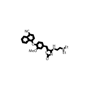 CCN(CC)CCNC1=NC(=O)S/C1=C\c1ccc(Oc2ccc(C#N)c3ccccc23)c(OC)c1